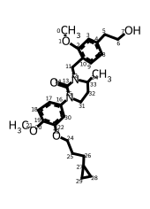 COc1cc(CCO)ccc1CN1C(=O)N(c2ccc(OC)c(OCCCC3CC3)c2)CCC1C